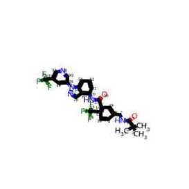 CC(C)(C)C(=O)NCc1ccc(C(F)(F)F)c(C(=O)Nc2cccc3c2cnn3-c2cncc(C(F)(F)F)c2)c1